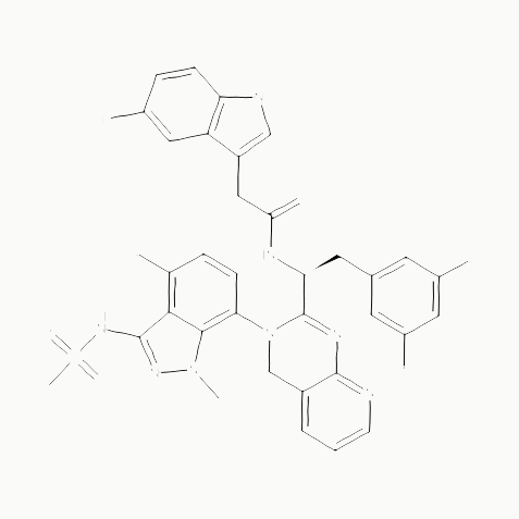 Cn1nc(NS(C)(=O)=O)c2c(Cl)ccc(N3Cc4cccnc4N=C3[C@H](Cc3cc(F)cc(F)c3)NC(=O)Cc3c[nH]c4ccc(F)cc34)c21